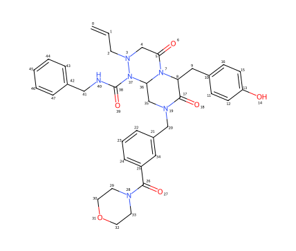 C=CCN1CC(=O)N2C(Cc3ccc(O)cc3)C(=O)N(Cc3cccc(C(=O)N4CCOCC4)c3)CC2N1C(=O)NCc1ccccc1